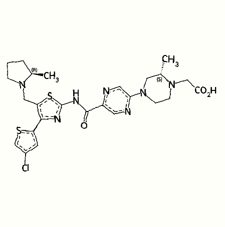 C[C@@H]1CCCN1Cc1sc(NC(=O)c2cnc(N3CCN(CC(=O)O)[C@@H](C)C3)cn2)nc1-c1cc(Cl)cs1